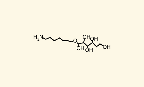 NCCCCCCCOC(O)C(O)C(O)C(O)CCO